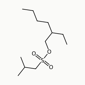 CCCCC(CC)COS(=O)(=O)CC(C)C